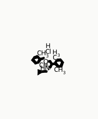 Cc1cccc(C)c1COCC(CNCC1CC1)c1c(C)cccc1C.Cl